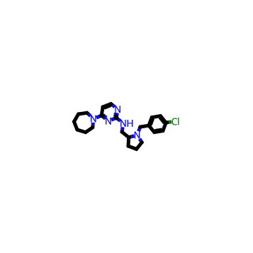 Clc1ccc(CN2CCCC2CNc2nccc(N3CCCCCC3)n2)cc1